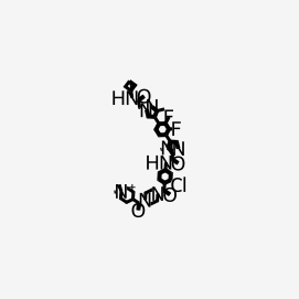 Cc1nn(CC(=O)NC23CC(C2)C3)cc1-c1ccc(-c2cnc(C(=O)Nc3ccc(C(=O)N4CCN(C(=O)C5CC[N+](C)(C)CC5)CC4)c(Cl)c3)n2C)c(F)c1F